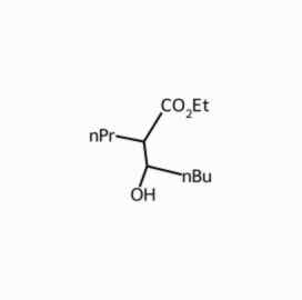 CCCCC(O)C(CCC)C(=O)OCC